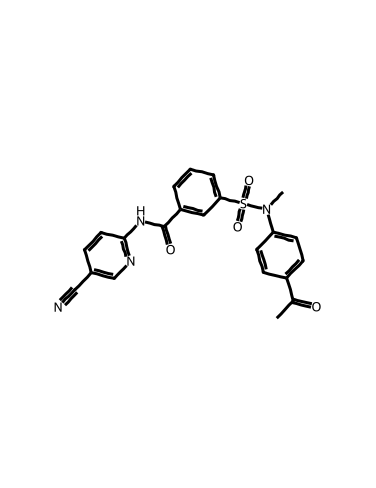 CC(=O)c1ccc(N(C)S(=O)(=O)c2cccc(C(=O)Nc3ccc(C#N)cn3)c2)cc1